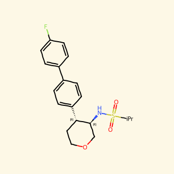 CC(C)S(=O)(=O)N[C@H]1COCC[C@@H]1c1ccc(-c2ccc(F)cc2)cc1